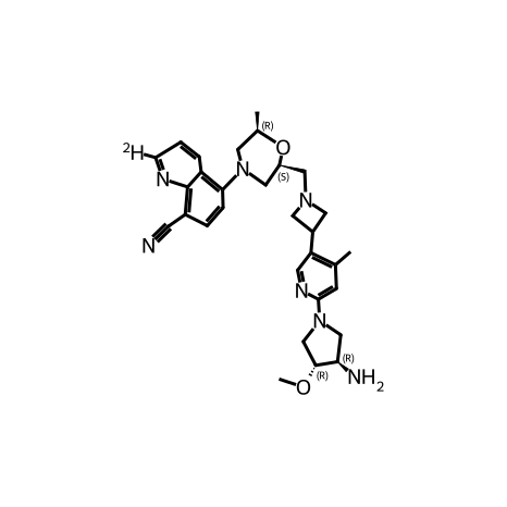 [2H]c1ccc2c(N3C[C@H](CN4CC(c5cnc(N6C[C@@H](N)[C@H](OC)C6)cc5C)C4)O[C@H](C)C3)ccc(C#N)c2n1